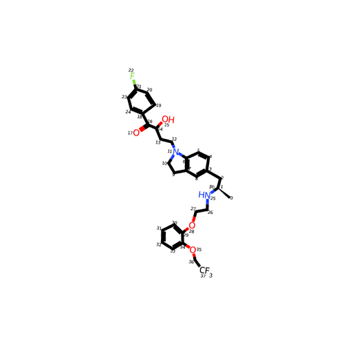 C[C@H](Cc1ccc2c(c1)CCN2CCC(O)C(=O)c1ccc(F)cc1)NCCOc1ccccc1OCC(F)(F)F